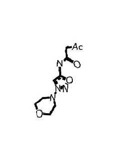 CC(=O)CC(=O)[N-]c1c[n+](N2CCOCC2)no1